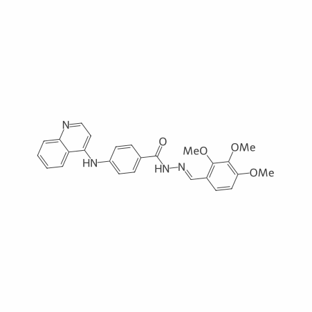 COc1ccc(C=NNC(=O)c2ccc(Nc3ccnc4ccccc34)cc2)c(OC)c1OC